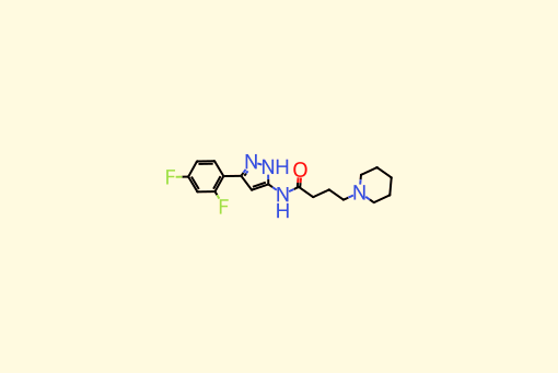 O=C(CCCN1CCCCC1)Nc1cc(-c2ccc(F)cc2F)n[nH]1